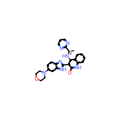 C[C@@H](Nc1c(-c2nc3ccc(N4CCOCC4)cc3[nH]2)c(=O)[nH]c2ccccc12)c1ncccn1